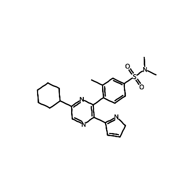 Cc1cc(S(=O)(=O)N(C)C)ccc1-c1nc(C2CCCCC2)cnc1C1=NCC=C1